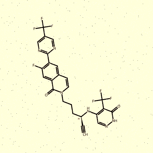 C#C[C@@H](CCCn1ccc2cc(-c3ncc(C(F)(F)F)cn3)c(F)cc2c1=O)Nc1cn[nH]c(=O)c1C(F)(F)F